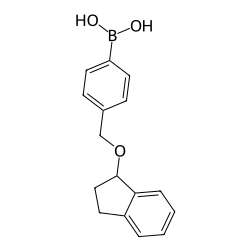 OB(O)c1ccc(COC2CCc3ccccc32)cc1